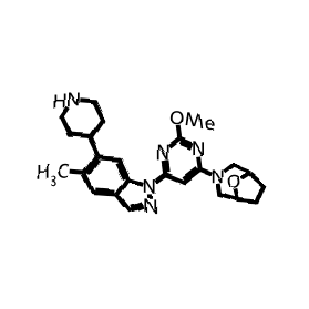 COc1nc(N2CC3CCC(C2)O3)cc(-n2ncc3cc(C)c(C4CCNCC4)cc32)n1